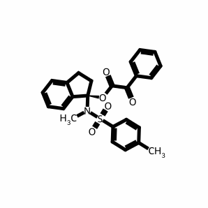 Cc1ccc(S(=O)(=O)N(C)[C@@]2(OC(=O)C(=O)c3ccccc3)CCc3ccccc32)cc1